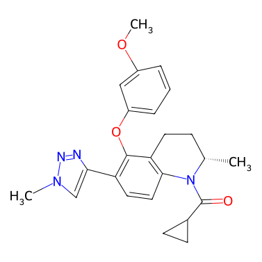 COc1cccc(Oc2c(-c3cn(C)nn3)ccc3c2CC[C@H](C)N3C(=O)C2CC2)c1